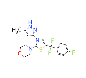 Cc1cc(N2C=C(C(F)(F)c3ccc(F)cc3)SC2N2CCOCC2)n[nH]1